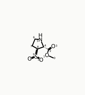 COC(=O)[C@H]1NCCC1=S(=O)=O